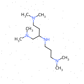 CN(C)CCCNC(CCN(C)C)CN(C)C